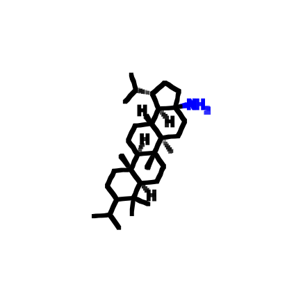 CC(C)C1CC[C@]2(C)[C@H]3CC[C@@H]4[C@H]5[C@H](C(C)C)CC[C@]5(N)CC[C@@]4(C)[C@]3(C)CC[C@H]2C1(C)C